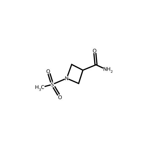 CS(=O)(=O)N1CC(C(N)=O)C1